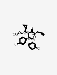 C#CC[C@H]1O[C@H](c2cccc(Cl)c2)[C@@H](c2ccc(Cl)cc2)N([C@H](CSC(C)(C)C)C2CC2)C1=O